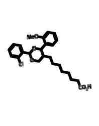 COc1ccccc1C1OC(c2ccccc2Cl)OCC1CCCCCCCC(=O)O